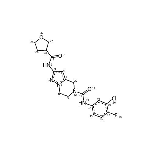 O=C(Nc1cc2n(n1)CCN(C(=O)Nc1ccc(F)c(Cl)c1)C2)C1CCOC1